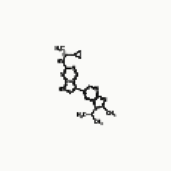 Cc1nc2ncc(-c3c[nH]c4nc(N[C@H](C)C5CC5)ncc34)cc2n1C(C)C